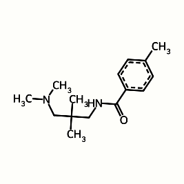 Cc1ccc(C(=O)NCC(C)(C)CN(C)C)cc1